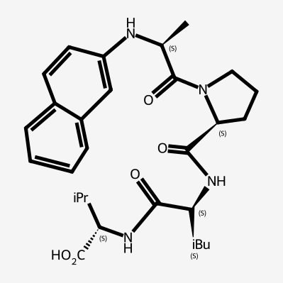 CC[C@H](C)[C@H](NC(=O)[C@@H]1CCCN1C(=O)[C@H](C)Nc1ccc2ccccc2c1)C(=O)N[C@H](C(=O)O)C(C)C